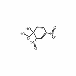 O=C(O)C1(O)C=CC([N+](=O)[O-])=CC1[N+](=O)[O-]